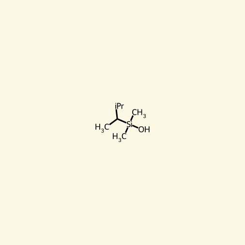 CC(C)C(C)[Si](C)(C)O